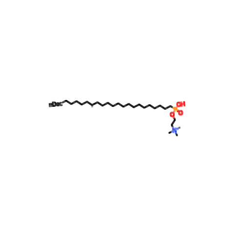 CCCCCCCCCCCCCCC[CH]CCCCCCCCCCCCCCCP(=O)(O)OCC[N+](C)(C)C